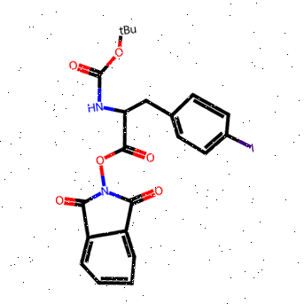 CC(C)(C)OC(=O)NC(Cc1ccc(I)cc1)C(=O)ON1C(=O)c2ccccc2C1=O